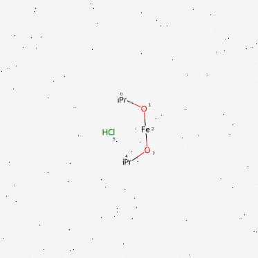 CC(C)[O][Fe][O]C(C)C.Cl